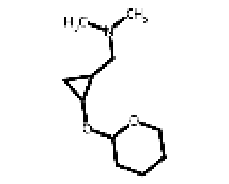 CN(C)CC1CC1OC1CCCCO1